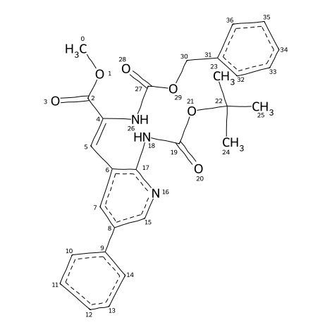 COC(=O)/C(=C/c1cc(-c2ccccc2)cnc1NC(=O)OC(C)(C)C)NC(=O)OCc1ccccc1